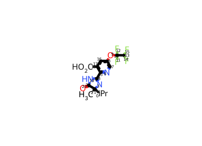 CC(C)C1(C)N=C(c2ncc(OC(F)(F)C(F)F)cc2C(=O)O)NC1=O